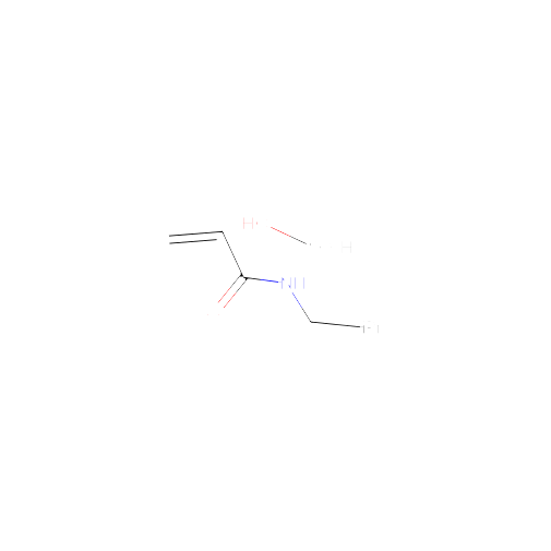 C=CC(=O)NCC(C)C.O=S(=O)(O)O